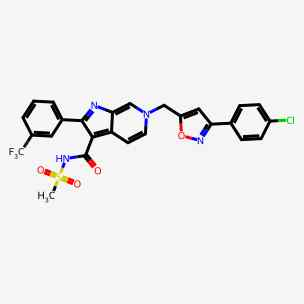 CS(=O)(=O)NC(=O)c1c2ccn(Cc3cc(-c4ccc(Cl)cc4)no3)cc-2nc1-c1cccc(C(F)(F)F)c1